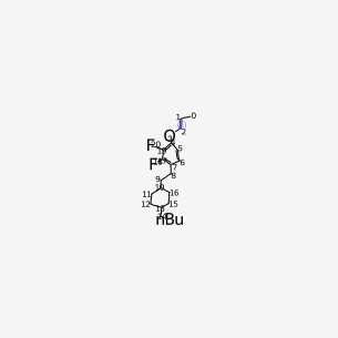 C/C=C/Oc1ccc(CCC2CCC(CCCC)CC2)c(F)c1F